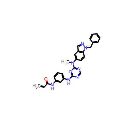 C=CC(=O)Nc1cccc(Nc2ncnc(N(C)c3ccc4c(cnn4Cc4ccccc4)c3)n2)c1